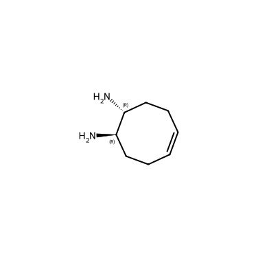 N[C@@H]1CCC=CCC[C@H]1N